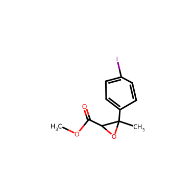 COC(=O)C1OC1(C)c1ccc(I)cc1